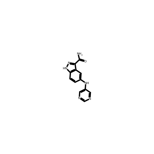 NC(=O)c1n[nH]c2ccc(Nc3cncnc3)cc12